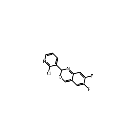 Fc1cc2c(cc1F)=NC(c1cccnc1Cl)OC=2